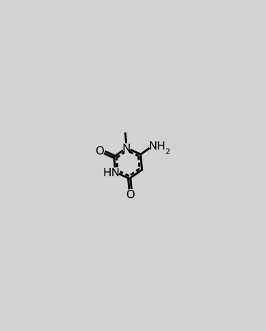 Cn1c(N)cc(=O)[nH]c1=O